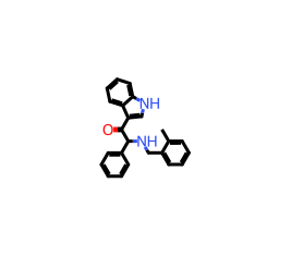 Cc1ccccc1CNC(C(=O)c1c[nH]c2ccccc12)c1ccccc1